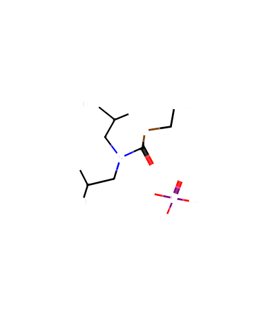 CCSC(=O)N(CC(C)C)CC(C)C.O=P(O)(O)O